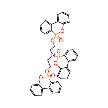 O=P1(OCCN(CCOP2(=O)Oc3ccccc3-c3ccccc32)P2(=O)Oc3ccccc3-c3ccccc32)Oc2ccccc2-c2ccccc21